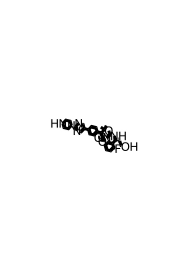 CC1(C)OC(N[C@@H](CCO)c2ccccc2F)=NS(=O)(=O)C1c1ccc(-c2cnc(N3CCNCC3)nc2)cc1